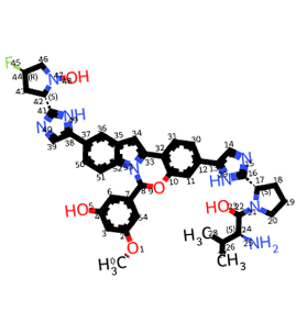 COc1cc(O)cc(C2Oc3cc(-c4cnc([C@@H]5CCCN5C(O)[C@@H](N)C(C)C)[nH]4)ccc3-c3cc4cc(-c5cnc([C@@H]6C[C@@H](F)CN6O)[nH]5)ccc4n32)c1